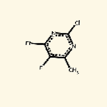 CCc1nc(Cl)nc(C)c1F